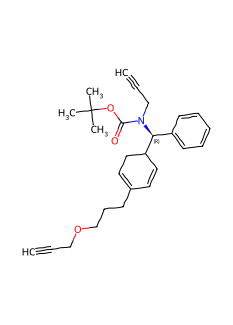 C#CCOCCCC1=CCC([C@H](c2ccccc2)N(CC#C)C(=O)OC(C)(C)C)C=C1